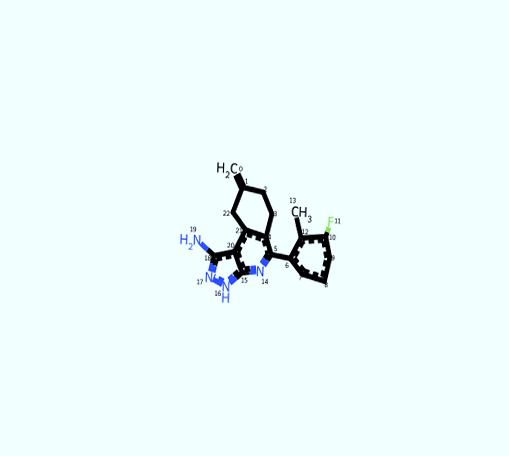 C=C1CCc2c(-c3cccc(F)c3C)nc3[nH]nc(N)c3c2C1